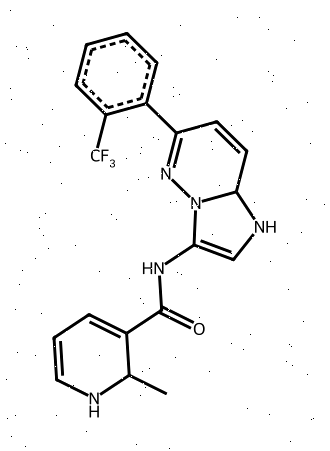 CC1NC=CC=C1C(=O)NC1=CNC2C=CC(c3ccccc3C(F)(F)F)=NN12